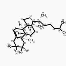 [2H]C1([2H])C[C@@]2(C)C(=CC[C@H]3[C@@H]4CC[C@H]([C@H](C)CCCC(C)C)[C@@]4(C)CC[C@@H]32)CC1([2H])O